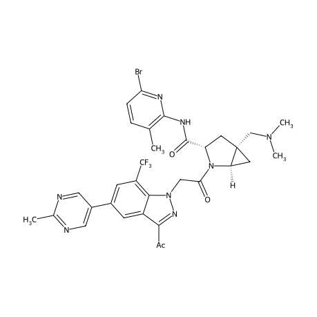 CC(=O)c1nn(CC(=O)N2[C@H](C(=O)Nc3nc(Br)ccc3C)C[C@@]3(CN(C)C)C[C@@H]23)c2c(C(F)(F)F)cc(-c3cnc(C)nc3)cc12